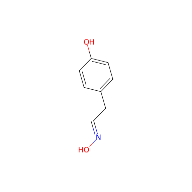 O/N=C/Cc1ccc(O)cc1